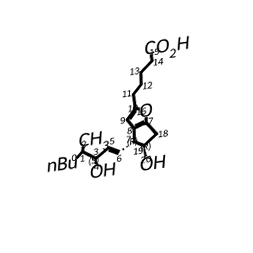 CCCCC(C)[C@H](O)C=C[C@@H]1c2cc(CCCCC(=O)O)oc2C[C@H]1O